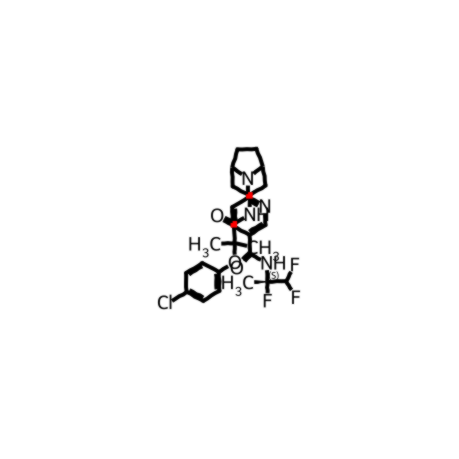 CC(C)(Oc1ccc(Cl)cc1)C(=O)NC1CC2CCC(C1)N2c1ccc(C(=O)N[C@@](C)(F)C(F)F)cn1